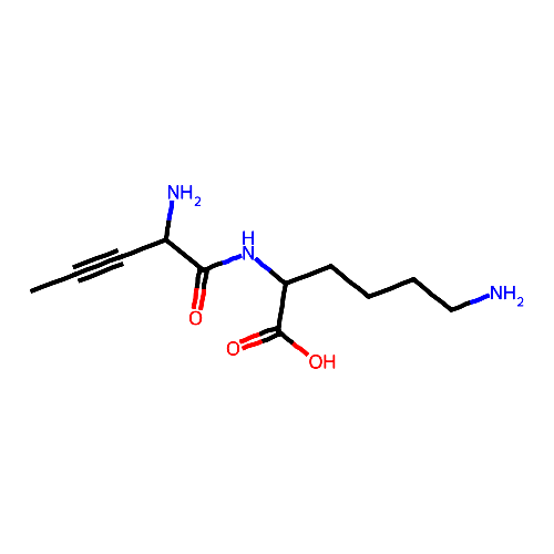 CC#CC(N)C(=O)NC(CCCCN)C(=O)O